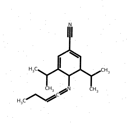 CCC=C=NC1C(C(C)C)=CC(C#N)=CC1C(C)C